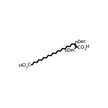 CCCCCCCCCCC(CCCCCCCCCCCCCCCCCCC(=O)O)=C(CCCCCCCCCC)C(=O)O